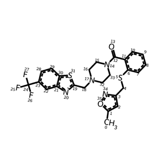 Cc1cc(CSc2ccccc2C(=O)N2CCN(Cc3nc4cc(C(F)(F)F)ccc4s3)CC2)no1